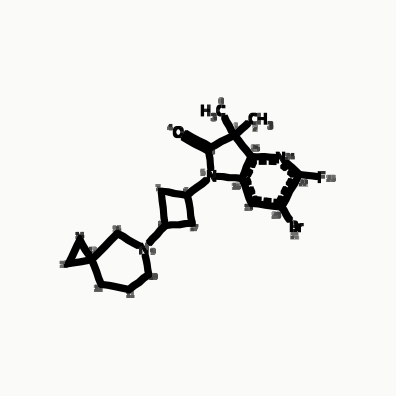 CC1(C)C(=O)N(C2CC(N3CCCC4(CC4)C3)C2)c2cc(Br)c(F)nc21